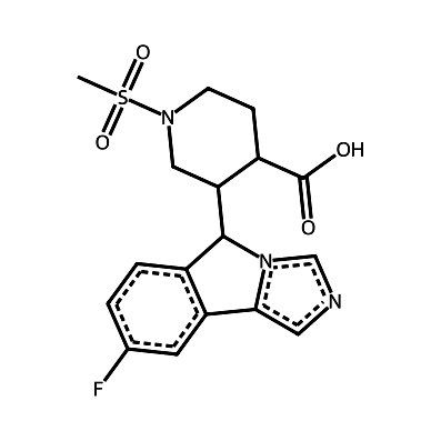 CS(=O)(=O)N1CCC(C(=O)O)C(C2c3ccc(F)cc3-c3cncn32)C1